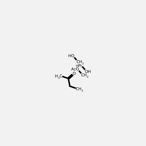 CCC(C)=O.CCCO.CO.COC(C)=O